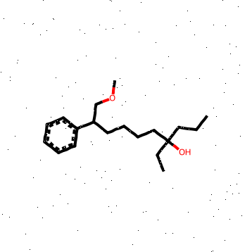 CCCC(O)(CC)CCCCC(COC)c1ccccc1